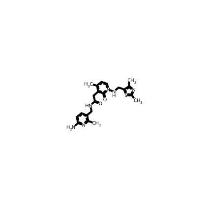 Cc1nc(C)c(CNn2ccc(C)c(CC(=O)NCc3ccc(N)nc3C)c2=O)s1